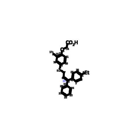 CCc1ccc(/C(=C\CSc2ccc(OCC(=O)O)c(I)c2)c2ccccc2)cc1